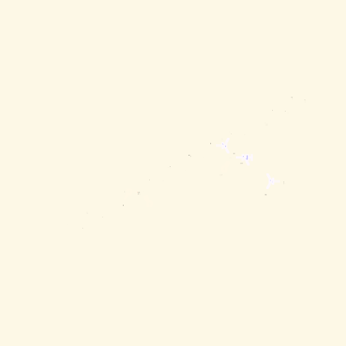 CCCCCCCCCOC(=O)CCCCCCCN(CCCCCCCC)C(=O)NCCN(C)C